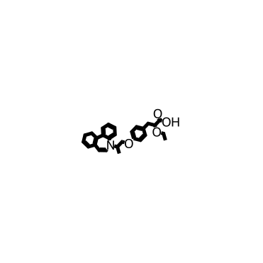 CCOC(Cc1ccc(OCC(C)N2C=CC3=C(CCC=C3)c3ccccc32)cc1)C(=O)O